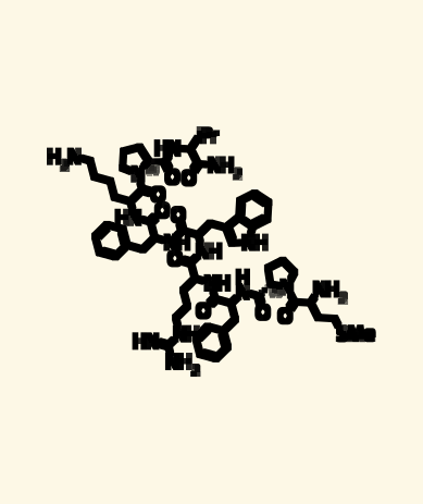 CSCCC(N)C(=O)N1CCC[C@H]1C(=O)NC(Cc1ccccc1)C(=O)NC(CCCNC(=N)N)C(=O)NC(Cc1c[nH]c2ccccc12)C(=O)NC(Cc1ccccc1)C(=O)NC(CCCCN)C(=O)N1CCC[C@H]1C(=O)NC(C(N)=O)C(C)C